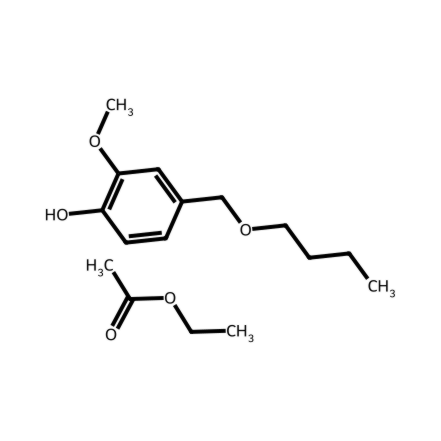 CCCCOCc1ccc(O)c(OC)c1.CCOC(C)=O